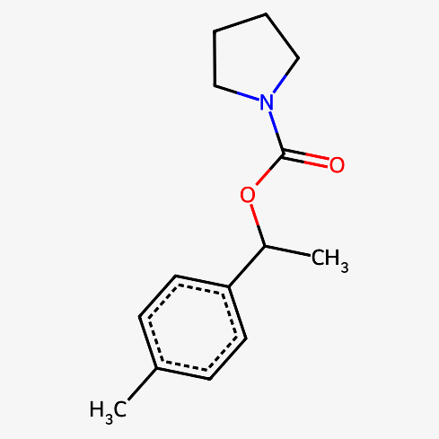 Cc1ccc(C(C)OC(=O)N2CCCC2)cc1